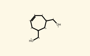 OCC1CC=CCC(CO)C1